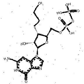 CCCC[C@H]1[C@@H](O)[C@H](n2cnc3c(=O)[nH]c(N)cc32)O[C@@H]1COP(=O)(O)OP(=O)(O)O